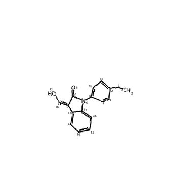 CCc1ccc(N2C(=O)C(=NO)c3ccccc32)cc1